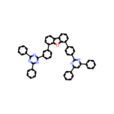 c1ccc(-c2cc(-c3ccccc3)nc(-c3ccc(-c4cccc5c4oc4c(-c6cccc(-c7nc(-c8ccccc8)nc(-c8ccccc8)n7)c6)cccc45)cc3)n2)cc1